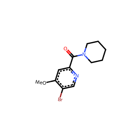 COc1cc(C(=O)N2CCCCC2)ncc1Br